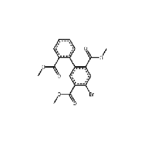 COC(=O)c1cc(-c2ccccc2C(=O)OC)c(C(=O)OC)cc1Br